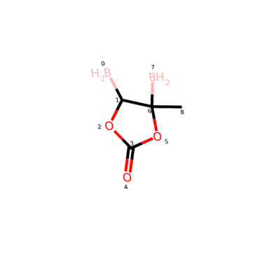 BC1OC(=O)OC1(B)C